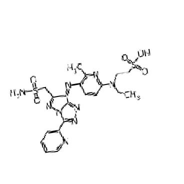 CCN(CCS(=O)(=O)O)c1ccc(/N=C2/C(CS(N)(=O)=O)=Nn3c2nnc3-c2ccccn2)c(C)n1